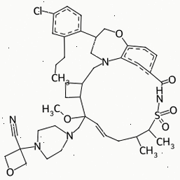 CCCc1cc(Cl)ccc1C1COc2ccc3cc2N(C1)CC1CCC1C(CN1CCN(C2(C#N)COC2)CC1)(OC)/C=C/CC(C)C(C)S(=O)(=O)NC3=O